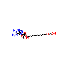 NC(=S)c1cn([C@@H]2O[C@@H]3COP(=O)(CCCCCCCCCCCCCCCCOCCCO)O[C@H]3[C@H]2O)c2ncnc(N)c12